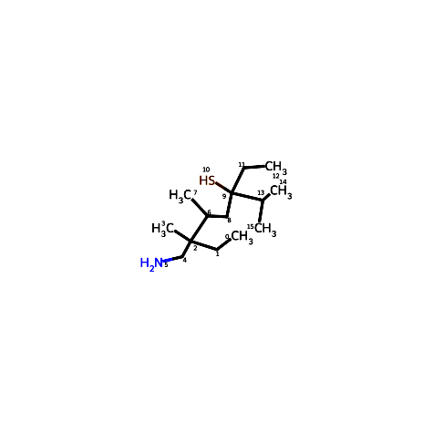 CCC(C)(CN)C(C)CC(S)(CC)C(C)C